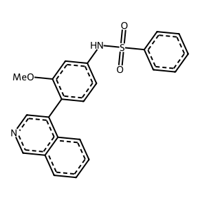 COc1cc(NS(=O)(=O)c2ccccc2)ccc1-c1cncc2ccccc12